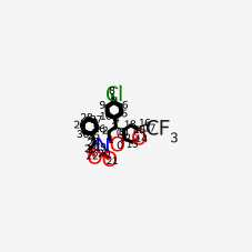 O=C(CC(c1ccc(Cl)cc1)[C@H]1CCO[C@@H](CC(F)(F)F)C1)N1C(=O)OCC1c1ccccc1